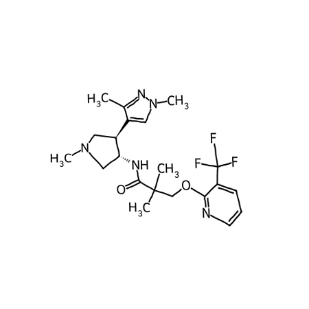 Cc1nn(C)cc1[C@@H]1CN(C)C[C@H]1NC(=O)C(C)(C)COc1ncccc1C(F)(F)F